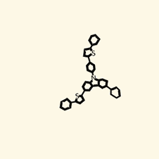 C1=CCCC(c2ccc3c(c2)c2cc(-c4ccc(-c5ccccc5)s4)ccc2n3-c2ccc(-c3ccc(-c4ccccc4)s3)cc2)=C1